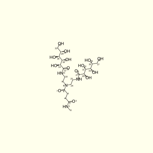 CNC(=O)CCC(=O)N(CCNC(=O)[C@@H](O)[C@H](O)[C@@H](O)[C@H](O)CO)CCNC(=O)[C@H](O)[C@@H](O)[C@H](O)[C@@H](O)CO